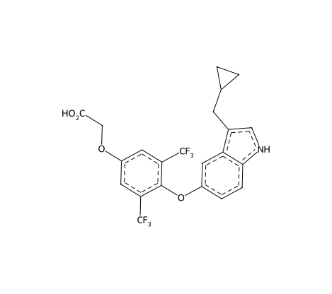 O=C(O)COc1cc(C(F)(F)F)c(Oc2ccc3[nH]cc(CC4CC4)c3c2)c(C(F)(F)F)c1